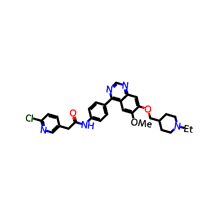 CCN1CCC(COc2cc3ncnc(-c4ccc(NC(=O)Cc5ccc(Cl)nc5)cc4)c3cc2OC)CC1